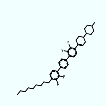 CCCCCCCCCc1ccc(-c2ccc(-c3ccc(C4=CCC(C5CCC(C)CC5)CC4)c(F)c3F)cc2)c(F)c1F